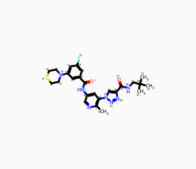 Cc1ncc(NC(=O)c2cc(F)cc(N3CCSCC3)c2)cc1-n1cc(C(=O)NCC(C)(C)C)nn1